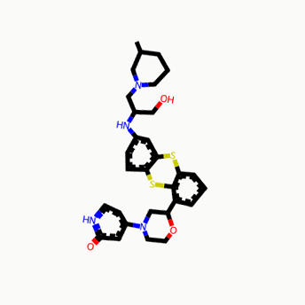 CC1CCCN(CC(CO)Nc2ccc3c(c2)Sc2cccc(C4CN(c5cc[nH]c(=O)c5)CCO4)c2S3)C1